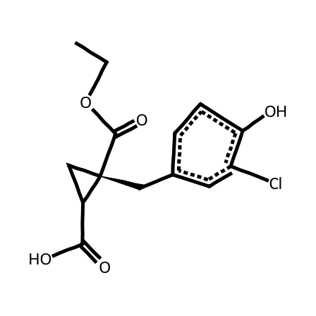 CCOC(=O)[C@@]1(Cc2ccc(O)c(Cl)c2)CC1C(=O)O